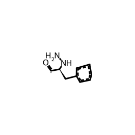 NN[C@H]([C]=O)Cc1ccccc1